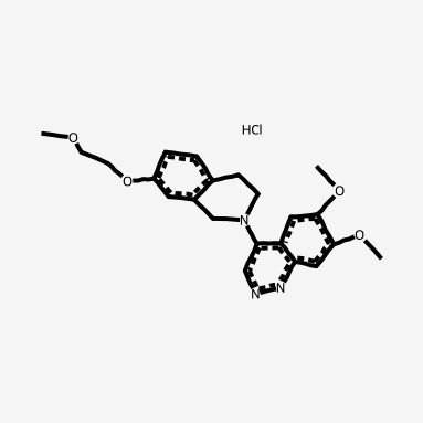 COCCOc1ccc2c(c1)CN(c1cnnc3cc(OC)c(OC)cc13)CC2.Cl